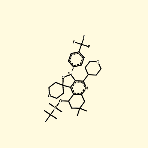 CC1(C)Cc2nc(C3CCOCC3)c3c(c2C(O[Si](C)(C)C(C)(C)C)C1)C1(CCOCC1)O[C@@H]3c1ccc(C(F)(F)F)cc1